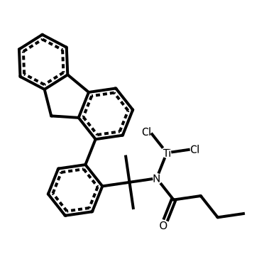 CCCC(=O)[N]([Ti]([Cl])[Cl])C(C)(C)c1ccccc1-c1cccc2c1Cc1ccccc1-2